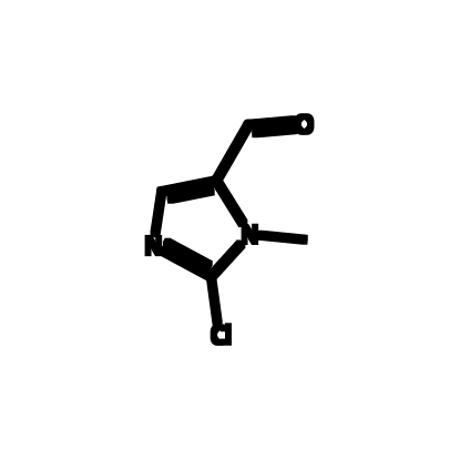 Cn1c(C=O)cnc1Cl